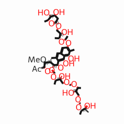 CO[C@H](C(=O)C(C)=O)[C@@H]1Cc2cc3cc(OC(C)OC(C)[C@@H](O)CO[C@H]4CC(O)[C@H](O)C(C)O4)c(C)c(O)c3c(O)c2C(=O)[C@H]1OCOC(C)[C@@H](O)COCOC(C)[C@H](O)COCOC(C)[C@H](C)O